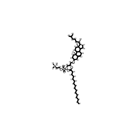 CCCCCCCCCCCCCCCC(=O)OC(COC1CC[C@@]2(C)C(=CCC3C2CC[C@@]2(C)C3CC[C@@H]2[C@H](C)CCCC(C)C)C1)COP(=O)([O-])OCC[N+](C)(C)C